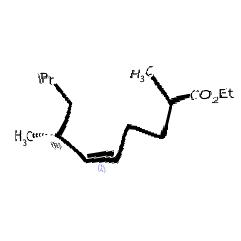 CCOC(=O)C(C)CC/C=C\[C@H](C)CC(C)C